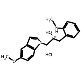 CNc1ccccc1C[C@@H](O)Cn1ccc2cc(OC)ccc21.Cl